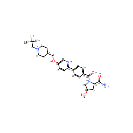 CCC(F)(CC)CN1CCC(COc2ccc(-c3ccc(C(=O)N4C[C@H](O)CC4C(N)=O)cc3)nc2)CC1